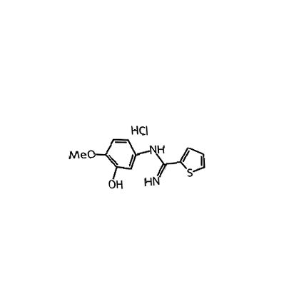 COc1ccc(NC(=N)c2cccs2)cc1O.Cl